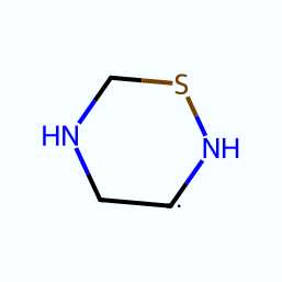 [CH]1CNCSN1